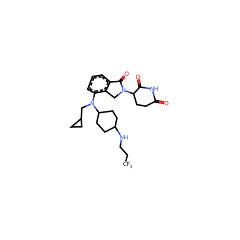 O=C1CCC(N2Cc3c(cccc3N(CC3CC3)C3CCC(NCCC(F)(F)F)CC3)C2=O)C(=O)N1